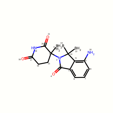 BC1(N2C(=O)c3cccc(N)c3C2(B)B)CCC(=O)NC1=O